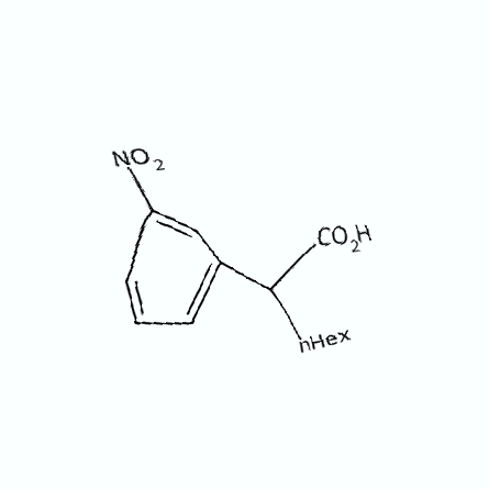 CCCCCCC(C(=O)O)c1cccc([N+](=O)[O-])c1